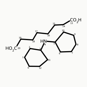 C1CCC(NC2CCCCC2)CC1.O=C(O)CCCCCCC(=O)O